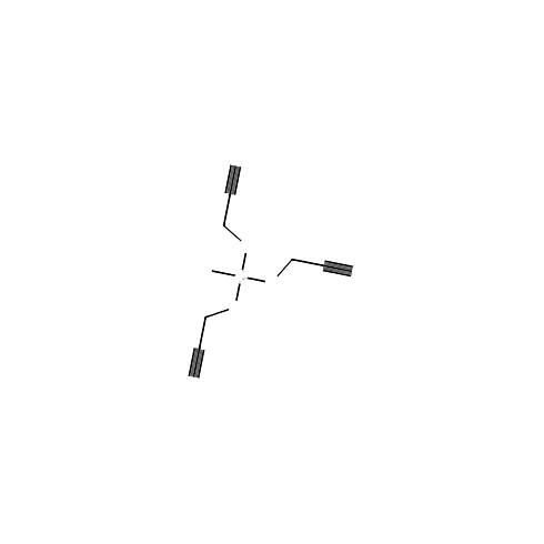 C#CCO[Si](C)(OCC#C)OCC#C